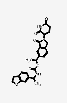 CC(NC(=O)OC(C)c1ccc2c(c1)C(=O)N(C1CCC(=O)NC1=O)C2)c1ccc2c(c1)OCC2